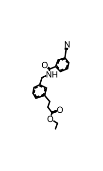 CCOC(=O)CCc1cccc(CNC(=O)c2cccc(C#N)c2)c1